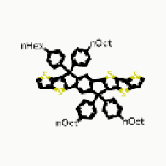 CCCCCCCCc1ccc(C2(c3ccc(CCCCCC)cc3)c3cc4c(cc3-c3sc5ccsc5c32)C(c2ccc(CCCCCCCC)cc2)(c2ccc(CCCCCCCC)cc2)c2c-4sc3c2sc2ccsc23)cc1